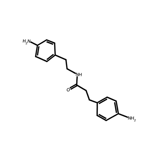 Nc1ccc(CCNC(=O)CCc2ccc(N)cc2)cc1